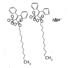 CCCCCCCCCCCCOS(=O)(=O)C(=C(c1ccccc1)c1ccccc1)S(=O)(=O)[O-].CCCCCCCCCCCCOS(=O)(=O)C(=C(c1ccccc1)c1ccccc1)S(=O)(=O)[O-].[Na+].[Na+]